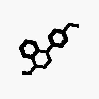 CNC1CCC(c2ccc(CI)cc2)c2ccccc21